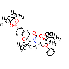 CC(C)(C)C([C@H]1CCc2cc(B3OC(C)(C)C(C)(C)O3)ccc2O1)N(C[C@@H](COc1ccccc1)O[Si](C)(C)C(C)(C)C)C(=O)O